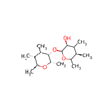 CC1O[C@@H](O[C@H]2C(C)[C@@H](C)C(C)O[C@H]2C)[C@@H](O)C(C)[C@H]1C